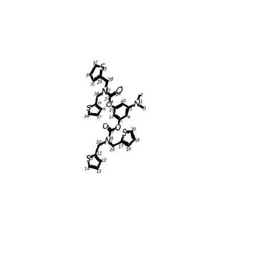 CN(C)c1cc(OC(=O)N(Cc2cccs2)Cc2cccs2)cc(OC(=O)N(Cc2cccs2)Cc2cccs2)c1